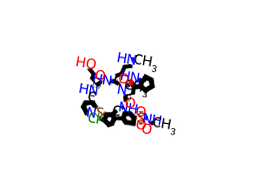 CNCCCC[C@@H]1NC(=O)[C@H](CCCO)NCc2cccnc2Sc2c(Cl)ccc(-c3ccc(S(=O)(=O)NC(C)=O)cc3)c2CNC(=O)[C@H](Cc2c[nH]c3ccccc23)N(C)C1=O